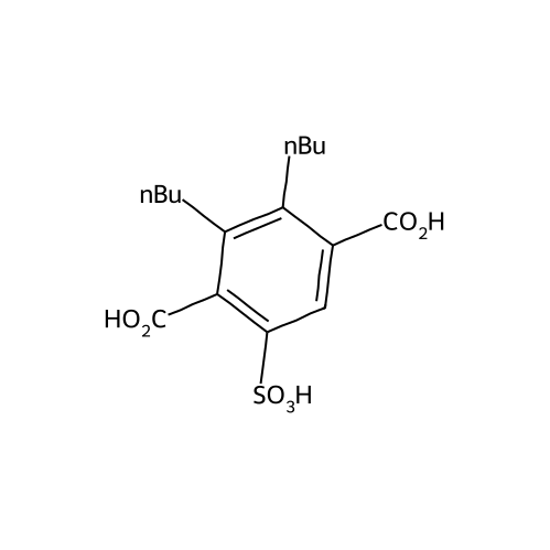 CCCCc1c(C(=O)O)cc(S(=O)(=O)O)c(C(=O)O)c1CCCC